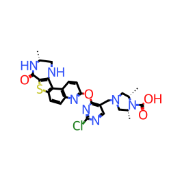 C[C@@H]1CNc2c(sc3ccc4nc(Oc5nc(Cl)ncc5CN5C[C@@H](C)N(C(=O)O)[C@@H](C)C5)ccc4c23)C(=O)N1